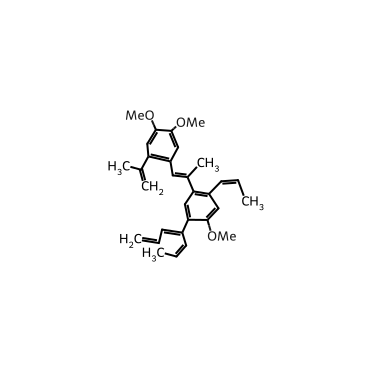 C=C/C=C(\C=C/C)c1cc(/C(C)=C/c2cc(OC)c(OC)cc2C(=C)C)c(/C=C\C)cc1OC